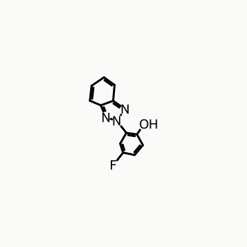 Oc1ccc(F)cc1-n1nc2ccccc2n1